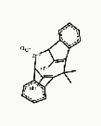 CCCC1=C2c3ccccc3[CH]1[Zr+2][CH]1C(CCC)=C(c3ccccc31)C2(C)C.[Cl-].[Cl-]